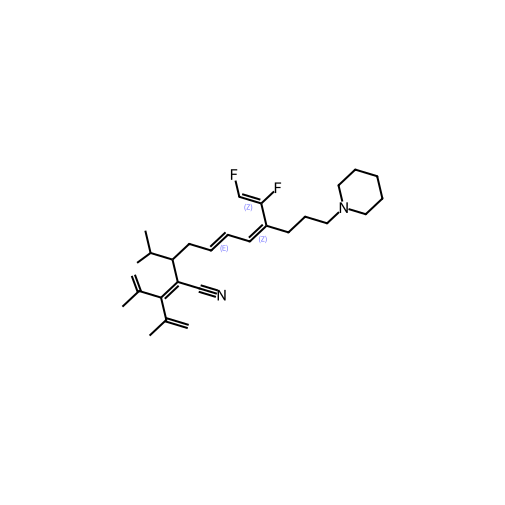 C=C(C)C(C(=C)C)=C(C#N)C(C/C=C/C=C(CCCN1CCCCC1)\C(F)=C\F)C(C)C